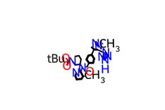 Cc1cccnc1N(C(=O)c1ccc(-c2cnn(C)c2-c2nn[nH]n2)cc1)[C@@H]1CCCN(C(=O)OC(C)(C)C)C1